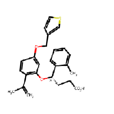 C=C(C)c1ccc(OCc2ccsc2)cc1O[C@@H](CCC(=O)O)c1ccccc1C